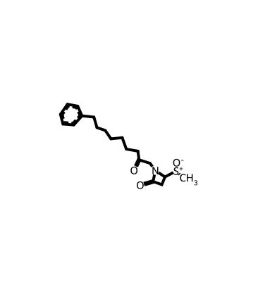 C[S+]([O-])C1CC(=O)N1CC(=O)CCCCCCCc1ccccc1